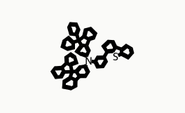 c1ccc(C2(c3ccccc3)c3ccccc3-c3cc(N(c4cccc(-c5cccc6c5sc5ccccc56)c4)c4ccc5c(c4)C4(c6ccccc6-c6ccccc64)c4ccccc4-5)ccc32)cc1